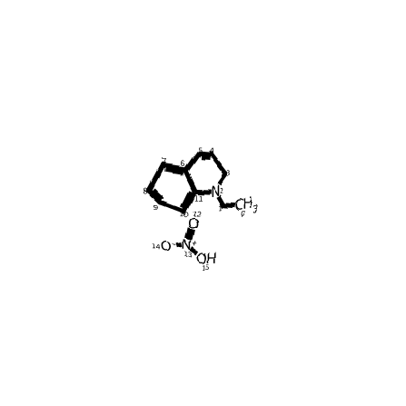 CCN1CC=Cc2ccccc21.O=[N+]([O-])O